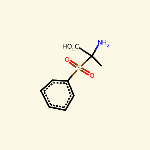 CC(N)(C(=O)O)S(=O)(=O)c1ccccc1